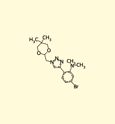 CN(C)c1cc(Br)ccc1-c1cn(CC2OCC(C)(C)CO2)nn1